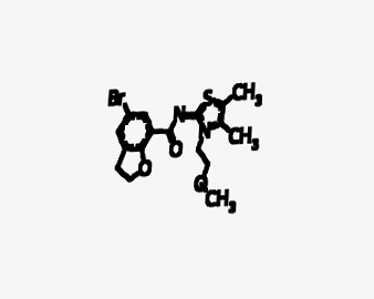 COCCn1c(C)c(C)sc1=NC(=O)c1cc(Br)cc2c1OCC2